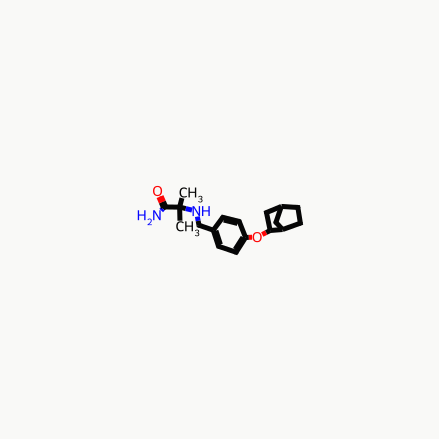 CC(C)(NCc1ccc(OC2CC3CCC2C3)cc1)C(N)=O